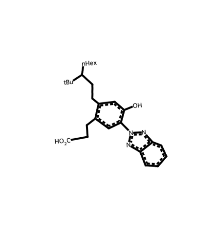 CCCCCCC(CCc1cc(O)c(-n2nc3ccccc3n2)cc1CCC(=O)O)C(C)(C)C